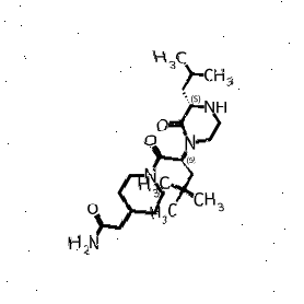 CC(C)C[C@@H]1NCCN([C@@H](CC(C)(C)C)C(=O)N2CCC(CC(N)=O)CC2)C1=O